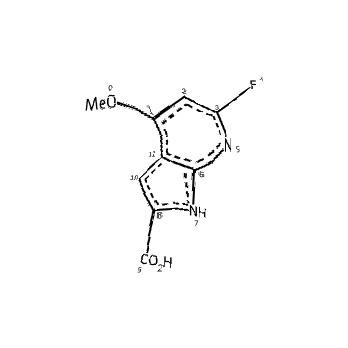 COc1cc(F)nc2[nH]c(C(=O)O)cc12